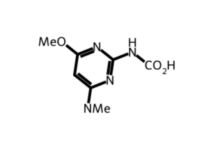 CNc1cc(OC)nc(NC(=O)O)n1